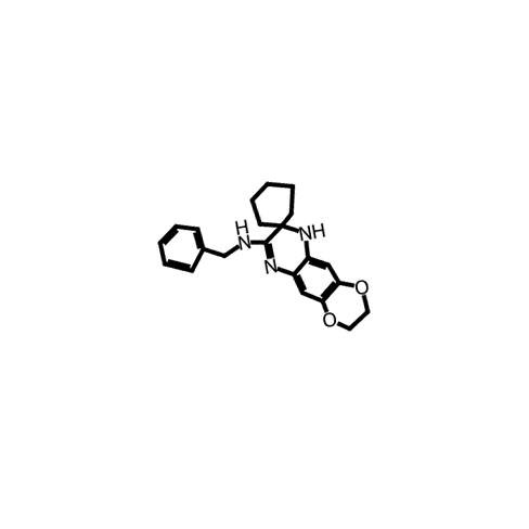 c1ccc(CNC2=Nc3cc4c(cc3NC23CCCCC3)OCCO4)cc1